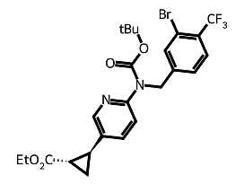 CCOC(=O)[C@H]1C[C@@H]1c1ccc(N(Cc2ccc(C(F)(F)F)c(Br)c2)C(=O)OC(C)(C)C)nc1